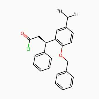 [2H]C([2H])c1ccc(OCc2ccccc2)c([C@H](CC(=O)Cl)c2ccccc2)c1